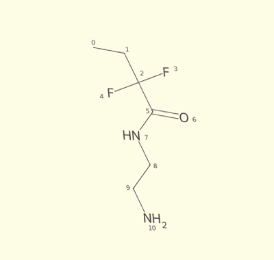 CCC(F)(F)C(=O)NCCN